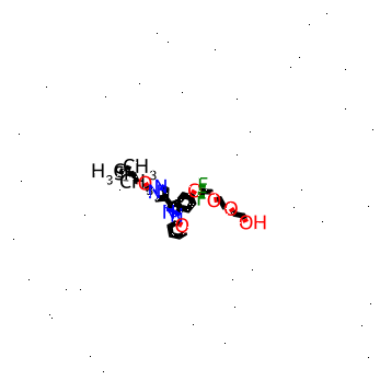 C[Si](C)(C)CCOCn1cc(-c2nn(C3CCCCO3)c3ccc(OC(F)(F)COCCOCCO)cc23)cn1